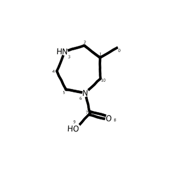 CC1CNCCN(C(=O)O)C1